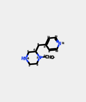 O=[C]N1CCNCC1Cc1ccncc1